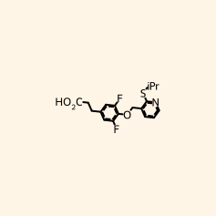 CC(C)Sc1ncccc1COc1c(F)cc(CCC(=O)O)cc1F